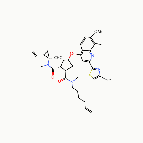 C=CCCCCN(C)C(=O)[C@@H]1C[C@H](Oc2cc(-c3nc(C(C)C)cs3)nc3c(C)c(OC)ccc23)C[C@H]1C(=O)N(C)[C@]1(C=O)C[C@H]1C=C